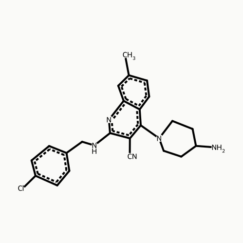 Cc1ccc2c(N3CCC(N)CC3)c(C#N)c(NCc3ccc(Cl)cc3)nc2c1